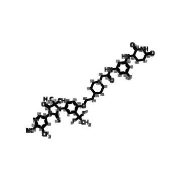 CC(F)(F)c1cc(N2C(=S)N(c3cnc(C#N)c(C(F)(F)F)c3)C(=O)C2(C)C)ccc1OCCC1CCN(CC(=O)Nc2cc(F)cc(NC3CCC(=O)NC3=O)c2)CC1